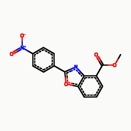 COC(=O)c1cccc2oc(-c3ccc([N+](=O)[O-])cc3)nc12